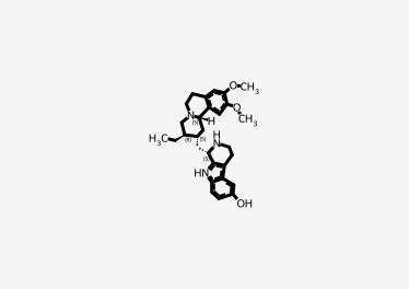 CC[C@H]1CN2CCc3cc(OC)c(OC)cc3[C@@H]2C[C@@H]1C[C@@H]1NCCc2c1[nH]c1ccc(O)cc21